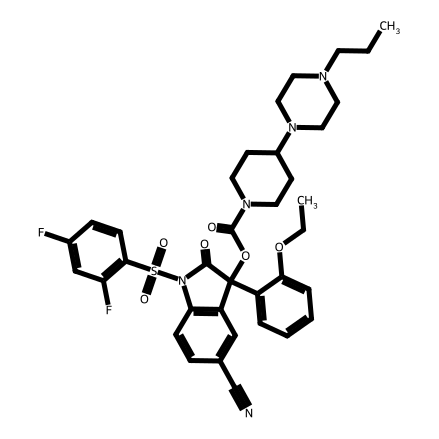 CCCN1CCN(C2CCN(C(=O)OC3(c4ccccc4OCC)C(=O)N(S(=O)(=O)c4ccc(F)cc4F)c4ccc(C#N)cc43)CC2)CC1